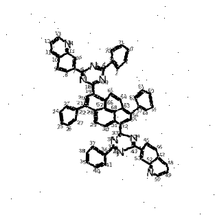 c1ccc(-c2nc(-c3ccc4cccnc4c3)nc(-c3cc(-c4ccccc4)c4ccc5c(-c6nc(-c7ccccc7)nc(-c7ccc8cccnc8c7)n6)cc(-c6ccccc6)c6ccc3c4c65)n2)cc1